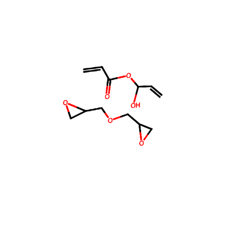 C(OCC1CO1)C1CO1.C=CC(=O)OC(O)C=C